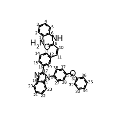 Nc1ccccc1NC(=O)/C=C\c1cccc(-c2nc3ccccc3n2-c2ccc(Oc3ccccc3)cc2)c1